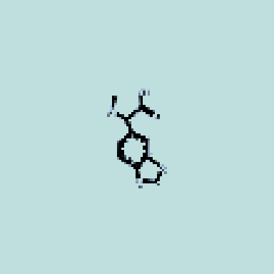 COC(C(=O)O)c1ccc2c(c1)OCO2